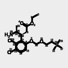 CCOC(=O)C[C@H](c1c(OCOCC[Si](C)(C)C)ccc(Cl)c1Cl)[C@H](C)N